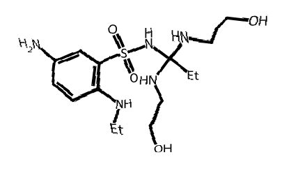 CCNc1ccc(N)cc1S(=O)(=O)NC(CC)(NCCO)NCCO